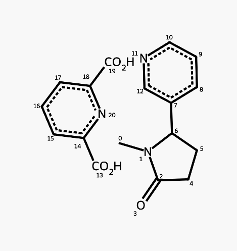 CN1C(=O)CCC1c1cccnc1.O=C(O)c1cccc(C(=O)O)n1